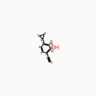 C#Cc1ccc(C2CC2)cc1.CO